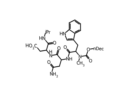 CCCCCCCCCCOC(=O)N(C)C(Cc1c[nH]c2ccccc12)C(=O)NC(CC(N)=O)C(=O)NC(CC(=O)O)C(=O)NC(C)C